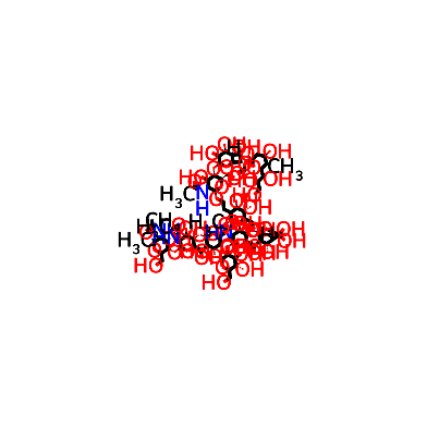 CC(=O)NC1C(O)[C@H](O[C@@H]2OC3CC(O)(O[C@]4(OC=O)C[C@@H](O)[C@@H](C)C([C@H](O)[C@H](O)CO)O4)[C@@H]3[C@H](O)C2O)[C@H](CO)O[C@H]1OCCC1[C@@H](OCC2O[C@@H](O[C@@H]3C(CO)O[C@@H](O[C@@H]4C(CO)O[C@@H](C)C(NC(C)=O)[C@H]4O)C(NC(C)=O)[C@H]3O)C(O)[C@@H](O[C@H]3OC(CO)[C@@H](O)C(O)C3O[C@@H]3OC(CO)[C@@H](O[C@@H]4OC5[C@@H]([C@H](O)C4O)C5(O)O)[C@H](O)C3NC(C)=O)[C@@H]2O)OC(CO)[C@@H](O)[C@@H]1O